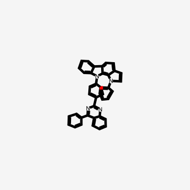 c1ccc(-c2nc(-c3ccc(-n4c5ccccc5c5ccc6ccn(-c7ccccc7)c6c54)cc3)nc3ccccc23)cc1